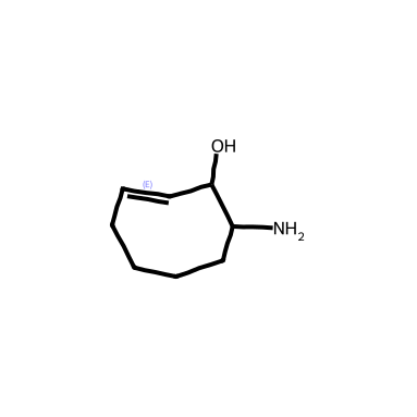 NC1CCCC/C=C/C1O